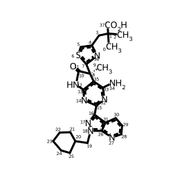 CC(C)(Cc1csc([C@]2(C)C(=O)Nc3nc(-c4nn(CC5CCCCC5)c5ncccc45)nc(N)c32)n1)C(=O)O